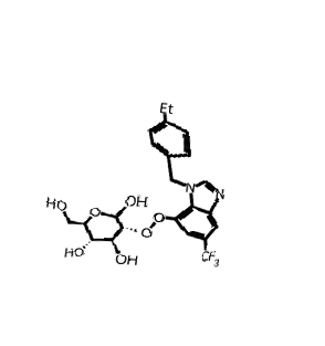 CCc1ccc(Cn2cnc3cc(C(F)(F)F)cc(OO[C@H]4C(O)O[C@H](CO)[C@@H](O)[C@@H]4O)c32)cc1